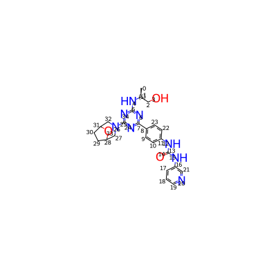 C[C@@H](CO)Nc1nc(-c2ccc(NC(=O)Nc3cccnc3)cc2)nc(N2CC3CCC(C2)O3)n1